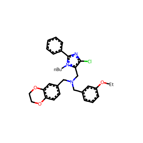 CCCCn1c(-c2ccccc2)nc(Cl)c1CN(Cc1cccc(OCC)c1)Cc1ccc2c(c1)OCCO2